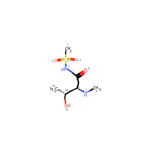 CN[C@H](C(=O)NS(C)(=O)=O)[C@@H](C)O